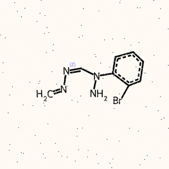 C=N/N=C\N(N)c1ccccc1Br